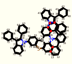 CC(C)(C)c1cc2c3c(c1)N(c1c(-c4ccccc4)cccc1-c1ccccc1)c1cc(-n4c(-c5ccccc5)c(-c5ccccc5)c5ccccc54)ccc1B3c1ccc(-n3c(-c4ccccc4)c(-c4ccccc4)c4ccccc43)cc1S2